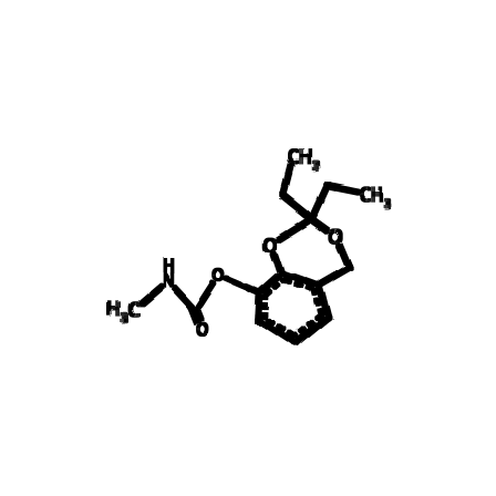 CCC1(CC)OCc2cccc(OC(=O)NC)c2O1